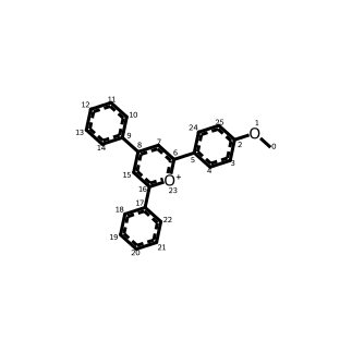 COc1ccc(-c2cc(-c3ccccc3)cc(-c3ccccc3)[o+]2)cc1